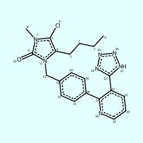 CCCCc1c(Cl)n(C)c(=O)n1Cc1ccc(-c2ncccc2-c2nnn[nH]2)cc1